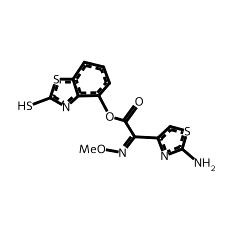 CON=C(C(=O)Oc1cccc2sc(S)nc12)c1csc(N)n1